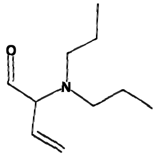 C=CC(C=O)N(CCC)CCC